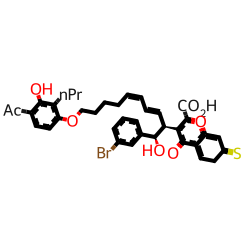 CCCc1c(OCCCC/C=C\C=C\[C@@H](c2c(C(=O)O)oc3c(c2=O)=CCC(=S)C=3)[C@@H](O)c2cccc(Br)c2)ccc(C(C)=O)c1O